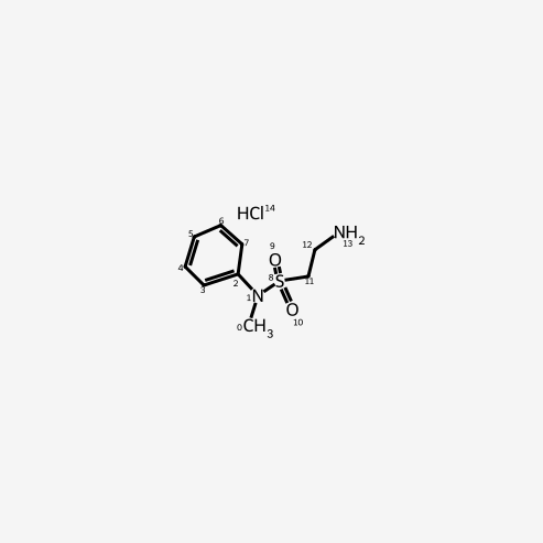 CN(c1ccccc1)S(=O)(=O)CCN.Cl